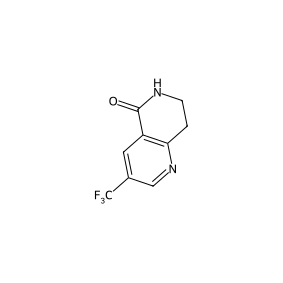 O=C1NCCc2ncc(C(F)(F)F)cc21